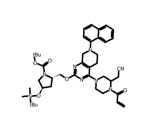 C=CC(=O)N1CCN(c2nc(OC[C@@H]3C[C@@H](O[Si](C)(C)C(C)(C)C)CN3C(=O)OC(C)(C)C)nc3c2CCN(c2cccc4ccccc24)C3)CC1CC#N